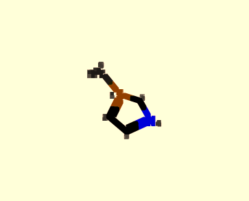 CCCS1=CC=NC1